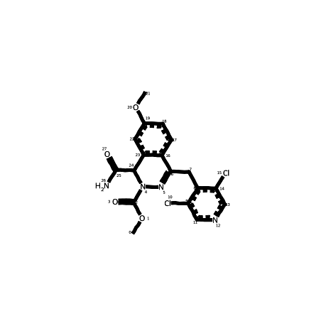 COC(=O)N1N=C(Cc2c(Cl)cncc2Cl)c2ccc(OC)cc2C1C(N)=O